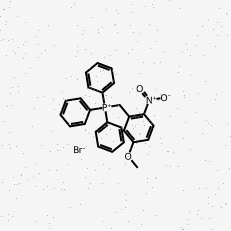 COc1ccc([N+](=O)[O-])c(C[P+](c2ccccc2)(c2ccccc2)c2ccccc2)c1.[Br-]